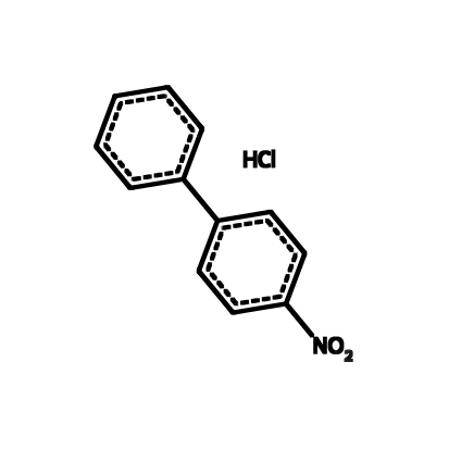 Cl.O=[N+]([O-])c1ccc(-c2ccccc2)cc1